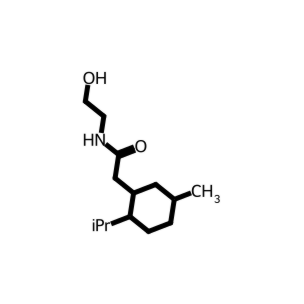 CC1CCC(C(C)C)C(CC(=O)NCCO)C1